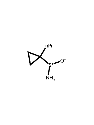 CCCC1([S+](N)[O-])CC1